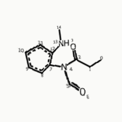 CCC(=O)N([C]=O)c1ccccc1NC